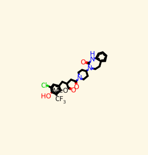 COC(=O)C(CC(=O)N1CCC(N2CCc3ccccc3NC2=O)CC1)Cc1cc(Cl)c(O)c(C(F)(F)F)c1